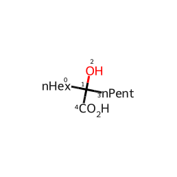 CCCCCCC(O)(CCCCC)C(=O)O